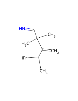 C=C(C(C)C(C)C)C(C)(C)C=N